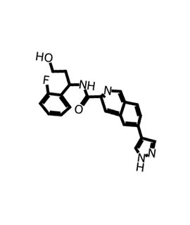 O=C(NC(CCO)c1ccccc1F)c1cc2cc(-c3cn[nH]c3)ccc2cn1